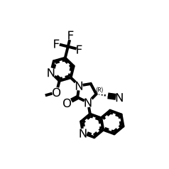 COc1ncc(C(F)(F)F)cc1N1C[C@H](C#N)N(c2cncc3ccccc23)C1=O